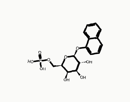 O=P(O)(O)OC[C@H]1O[C@@H](Oc2cccc3ccccc23)[C@H](O)[C@@H](O)[C@H]1O